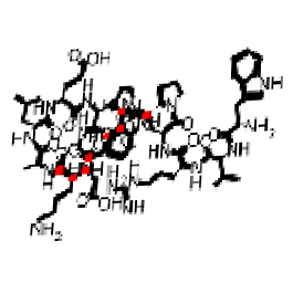 CC(C)C[C@H](NC(=O)[C@H](C)NC(=O)[C@H](CCCCN)NC(=O)CNC(=O)[C@@H]1CCCN1C(=O)[C@@H]1CCCN1C(=O)[C@H](CCC(N)=O)NC(=O)[C@H](CCCNC(=N)N)NC(=O)[C@@H](NC(=O)[C@@H](N)Cc1c[nH]c2ccccc12)C(C)C)C(=O)N[C@@H](CCC(=O)O)C(=O)N[C@@H](Cc1c[nH]c2ccccc12)C(=O)N[C@@H](CC(C)C)C(=O)NCC(=O)O